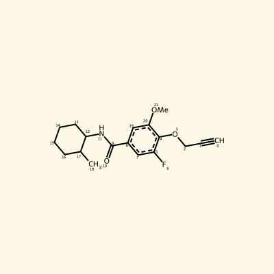 C#CCOc1c(F)cc(C(=O)NC2CCCCC2C)cc1OC